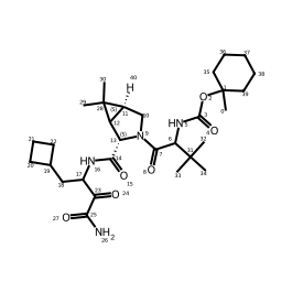 CC1(OC(=O)NC(C(=O)N2C[C@H]3C([C@H]2C(=O)NC(CC2CCC2)C(=O)C(N)=O)C3(C)C)C(C)(C)C)CCCCC1